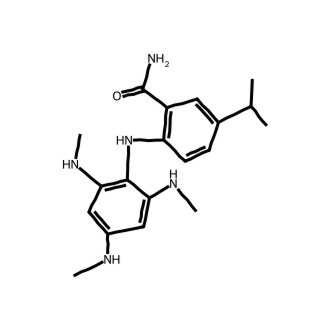 CNc1cc(NC)c(Nc2ccc(C(C)C)cc2C(N)=O)c(NC)c1